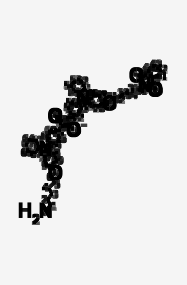 NCCCCCCOc1ccc(N(c2ccc(C3=C([O-])C(=C4C=CC(=[N+](c5ccc(OCCCCCCN6C(=O)c7ccccc7C6=O)cc5)C5CCCCC5)C=C4)C3=O)cc2)C2CCCCC2)cc1